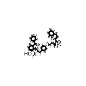 CCCN(CCOc1ccc(CC(Nc2ccccc2C(=O)c2ccccc2)C(=O)O)cc1)C(=O)c1ccc2ccccc2n1